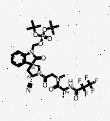 C[C@H](NC(=O)C(F)(F)C(F)(F)F)C(=O)N(C)CC(=O)N1C[C@]2(C[C@H]1C#N)C(=O)N(COP(=O)(OC(C)(C)C)OC(C)(C)C)c1ccccc12